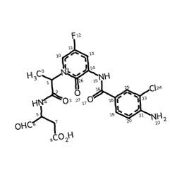 CC(C(=O)NC(C=O)CC(=O)O)n1cc(F)cc(NC(=O)c2ccc(N)c(Cl)c2)c1=O